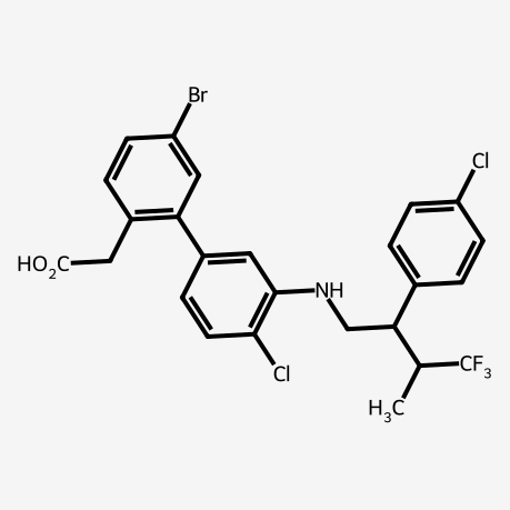 CC(C(CNc1cc(-c2cc(Br)ccc2CC(=O)O)ccc1Cl)c1ccc(Cl)cc1)C(F)(F)F